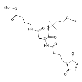 CC(C)(CCOC(C)(C)C)NC(=O)[C@H](CC(=O)NCCCC(=O)OC(C)(C)C)NC(=O)CCCN1C(=O)C=CC1=O